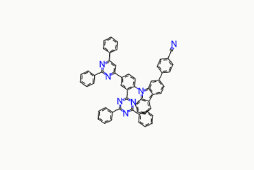 N#Cc1ccc(-c2ccc3c4ccccc4n(-c4ccc(-c5cc(-c6ccccc6)nc(-c6ccccc6)n5)cc4-c4nc(-c5ccccc5)nc(-c5ccccc5)n4)c3c2)cc1